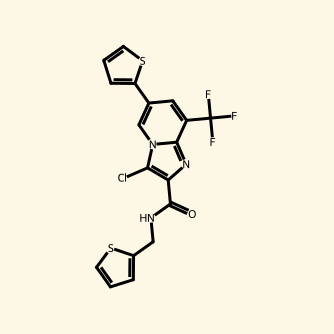 O=C(NCc1cccs1)c1nc2c(C(F)(F)F)cc(-c3cccs3)cn2c1Cl